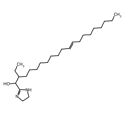 CCCCCCCCC=CCCCCCCCCC(CC)C(O)C1=NCCN1